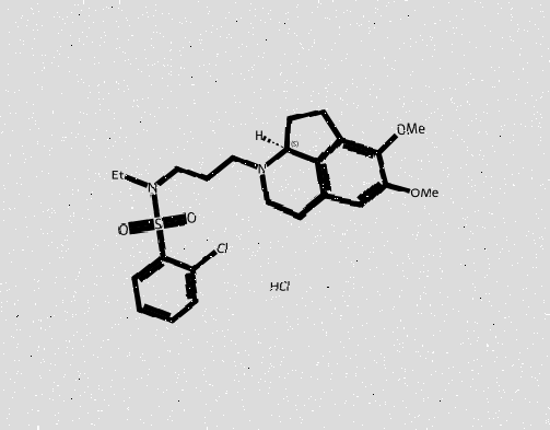 CCN(CCCN1CCc2cc(OC)c(OC)c3c2[C@@H]1CC3)S(=O)(=O)c1ccccc1Cl.Cl